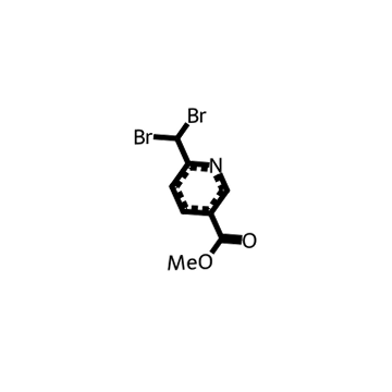 COC(=O)c1ccc(C(Br)Br)nc1